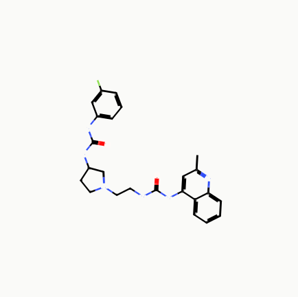 Cc1cc(NC(=O)NCCN2CCC(NC(=O)Nc3cccc(F)c3)C2)c2ccccc2n1